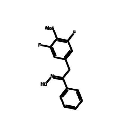 CSc1c(F)cc(CC(=NO)c2ccccc2)cc1F